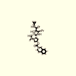 CCCC(NC(=O)[C@@H]1C[C@@H](OC(=O)N2CCc3ccccc3C2)CN1B(C)O)C(O)C(=O)NC1CC1